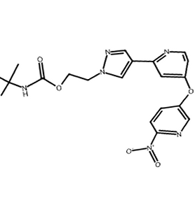 CC(C)(C)NC(=O)OCCn1cc(-c2cc(Oc3ccc([N+](=O)[O-])nc3)ccn2)cn1